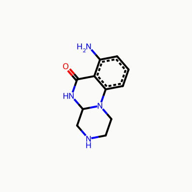 Nc1cccc2c1C(=O)NC1CNCCN21